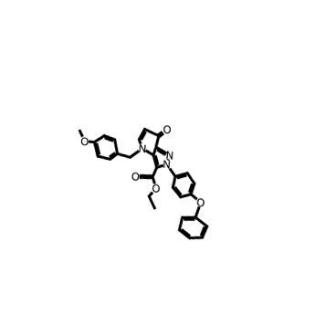 CCOC(=O)c1c2c(nn1-c1ccc(Oc3ccccc3)cc1)c(=O)ccn2Cc1ccc(OC)cc1